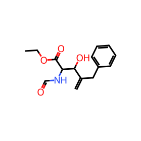 C=C(Cc1ccccc1)C(O)C(NC=O)C(=O)OCC